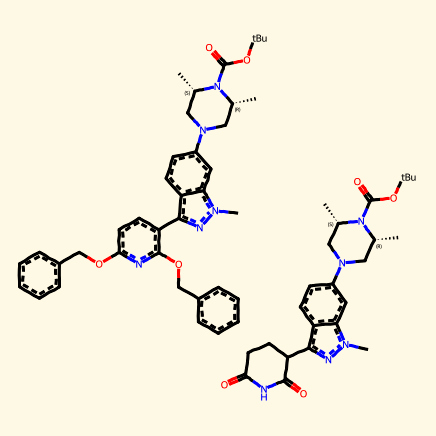 C[C@@H]1CN(c2ccc3c(-c4ccc(OCc5ccccc5)nc4OCc4ccccc4)nn(C)c3c2)C[C@H](C)N1C(=O)OC(C)(C)C.C[C@@H]1CN(c2ccc3c(C4CCC(=O)NC4=O)nn(C)c3c2)C[C@H](C)N1C(=O)OC(C)(C)C